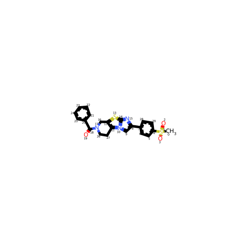 CS(=O)(=O)c1ccc(-c2cn3c4c(sc3n2)CN(C(=O)c2ccccc2)CC4)cc1